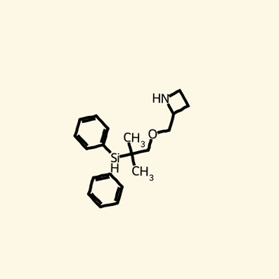 CC(C)(COCC1CCN1)[SiH](c1ccccc1)c1ccccc1